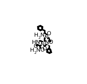 NC(=O)C1C(=O)NCCN1C(=O)[C@H](Cc1ccccc1)N1CCN(C(=O)[C@@H](N)Cc2ccccc2)CC1=O